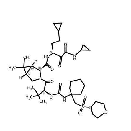 CC(C)(C)[C@H](NC(=O)NC1(CS(=O)(=O)N2CCOCC2)CCCCC1)C(=O)N1C[C@H]2[C@@H]([C@H]1C(=O)N[C@@H](CCC1CC1)C(=O)C(=O)NC1CC1)C2(C)C